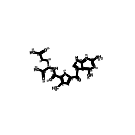 Cc1cc(C(=O)c2c[nH]c3nc(N)nc(O)c23)sc1C(=O)N[C@@H](CCC(=O)O)C(=O)O